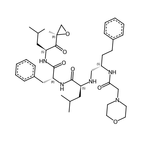 CC(C)C[C@H](NC[C@H](CCc1ccccc1)NC(=O)CN1CCOCC1)C(=O)N[C@H](Cc1ccccc1)C(=O)N[C@@H](CC(C)C)C(=O)[C@@]1(C)CO1